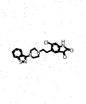 O=C1Nc2cc(Cl)c(CCN3CCN(c4nsc5ccccc45)CC3)cc2C1=O